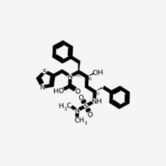 CN(C)S(=O)(=O)N[C@@H](Cc1ccccc1)C[C@@H](O)[C@H](Cc1ccccc1)N(Cc1cncs1)C(=O)O